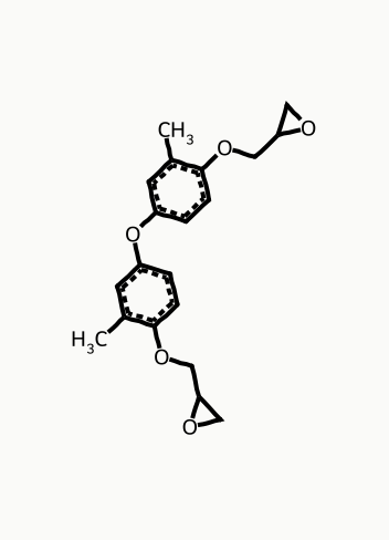 Cc1cc(Oc2ccc(OCC3CO3)c(C)c2)ccc1OCC1CO1